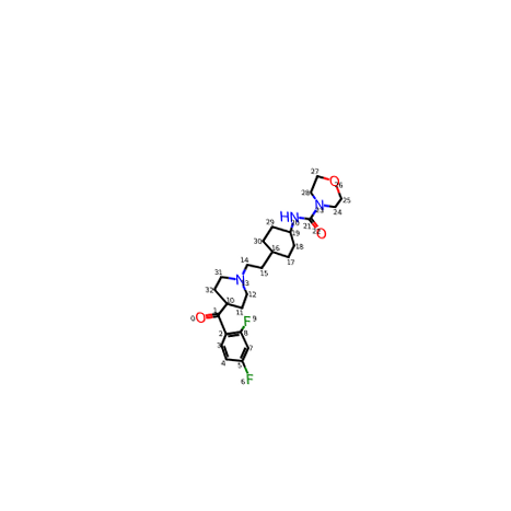 O=C(c1ccc(F)cc1F)C1CCN(CCC2CCC(NC(=O)N3CCOCC3)CC2)CC1